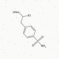 CCCCCCC(CC)Cc1ccc(S(N)(=O)=O)cc1